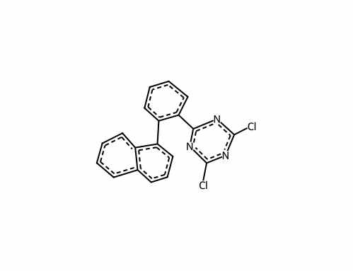 Clc1nc(Cl)nc(-c2ccccc2-c2cccc3ccccc23)n1